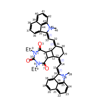 CCN1C(=O)C2C(C(=O)N(CC)C1=O)C1/C(=C\C=c3\c4cccc5cccc(c54)n3C)CC/C(=C/C=c3/c4cccc5cccc(c54)n3C)C21